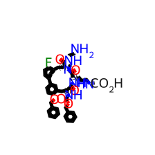 CN1C(=O)[C@H](CCCNC(=O)O)NC(=O)[C@@H](NC(=O)OCc2ccccc2)Cc2cc(ccc2OCc2ccccc2)-c2ccc(F)c(c2)C[C@H]1C(=O)NCCN